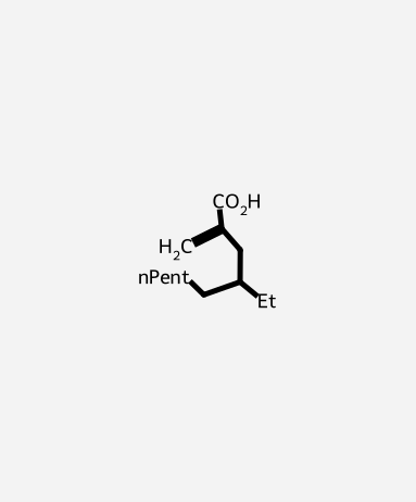 C=C(CC(CC)CCCCCC)C(=O)O